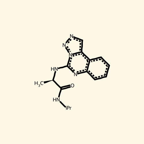 CC(C)NC(=O)[C@@H](C)Nc1nc2ccccc2c2cnnn12